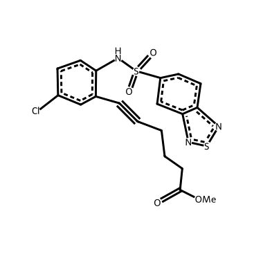 COC(=O)CCCC#Cc1cc(Cl)ccc1NS(=O)(=O)c1ccc2nsnc2c1